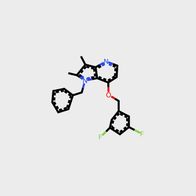 Cc1c(C)n(Cc2ccccc2)c2c(OCc3cc(F)cc(F)c3)ccnc12